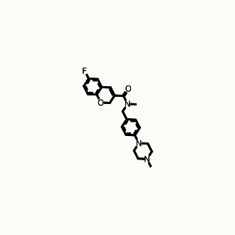 CN1CCN(c2ccc(CN(C)C(=O)C3=Cc4cc(F)ccc4OC3)cc2)CC1